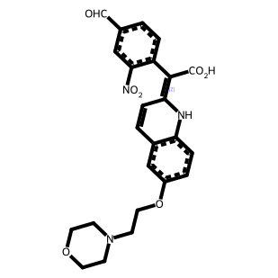 O=Cc1ccc(/C(C(=O)O)=C2\C=Cc3cc(OCCN4CCOCC4)ccc3N2)c([N+](=O)[O-])c1